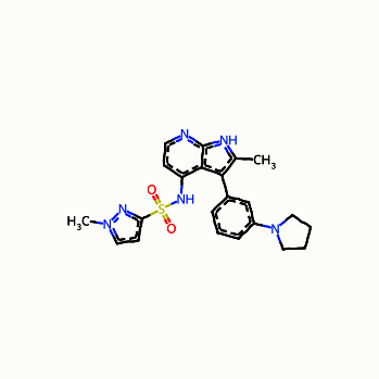 Cc1[nH]c2nccc(NS(=O)(=O)c3ccn(C)n3)c2c1-c1cccc(N2CCCC2)c1